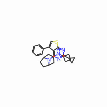 c1ccc(-c2csc3nc(C4CC4)nc(N4C5CCC4CC(NC4CCC4)C5)c23)cc1